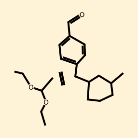 C=C.CC1CCCC(Cc2ccc(C=O)cc2)C1.CCOC(C)OCC